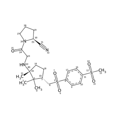 CC1(C)[C@@H](CS(=O)(=O)c2ccc(S(C)(=O)=O)cc2)CC[C@@]1(C)NCC(=O)N1CCC[C@H]1C#N